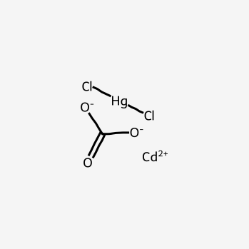 O=C([O-])[O-].[Cd+2].[Cl][Hg][Cl]